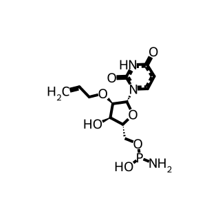 C=CCO[C@@H]1[C@H](O)[C@@H](COP(N)O)O[C@H]1n1ccc(=O)[nH]c1=O